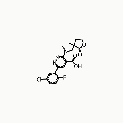 CN(CC1(C)CCOC1=O)c1nnc(-c2cc(Cl)ccc2F)cc1C(=O)O